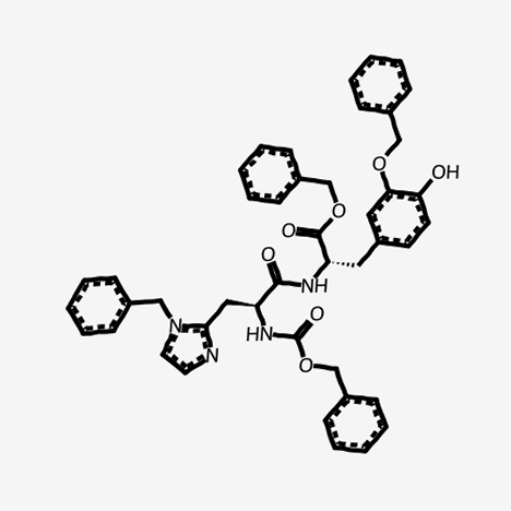 O=C(N[C@@H](Cc1nccn1Cc1ccccc1)C(=O)N[C@@H](Cc1ccc(O)c(OCc2ccccc2)c1)C(=O)OCc1ccccc1)OCc1ccccc1